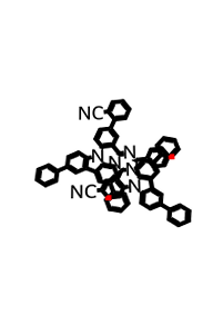 N#Cc1ccc(-n2c3ccc(-c4ccccc4)cc3c3cc(-c4ccccc4)ccc32)c(-c2nc(-c3ccccc3)nc(-c3cc(-c4ccccc4C#N)ccc3-n3c4ccc(-c5ccccc5)cc4c4cc(-c5ccccc5)ccc43)n2)c1